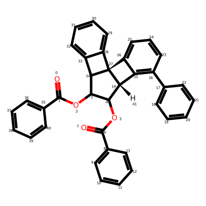 O=C(OC1C(OC(=O)c2ccccc2)[C@H]2c3c(-c4ccccc4)cccc3[C@@]23c2ccccc2C13)c1ccccc1